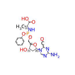 C[C@H](NP(OC[C@H]1O[C@@H](N2C=NC(N)=NC2=C=O)C[C@@H]1O)Oc1ccccc1)C(=O)O